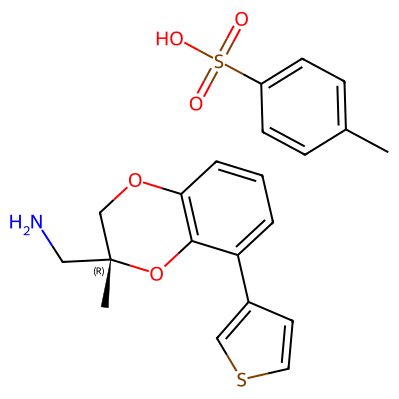 C[C@@]1(CN)COc2cccc(-c3ccsc3)c2O1.Cc1ccc(S(=O)(=O)O)cc1